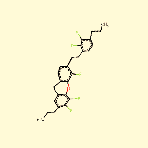 CCCc1ccc(CCc2ccc3c(c2F)Oc2c(cc(CCC)c(F)c2F)C3)c(F)c1F